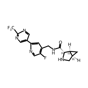 O=C(NCc1cc(-c2cnc(C(F)(F)F)nc2)ncc1F)[C@H]1NC[C@@H]2C[C@@H]21